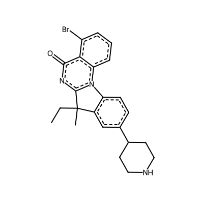 CCC1(C)c2cc(C3CCNCC3)ccc2-n2c1nc(=O)c1c(Br)cccc12